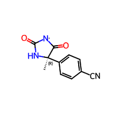 C[C@]1(c2ccc(C#N)cc2)NC(=O)[N]C1=O